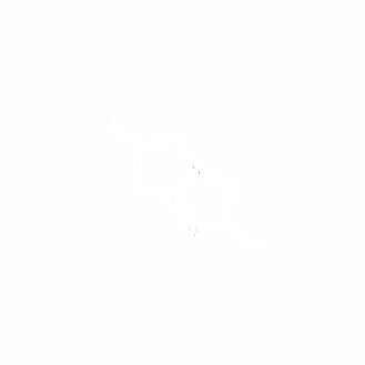 Cc1cn2c(n1)CC(F)C2